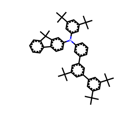 CC(C)(C)c1cc(-c2cccc(N(c3cc(C(C)(C)C)cc(C(C)(C)C)c3)c3ccc4c(c3)C(C)(C)c3ccccc3-4)c2)cc(-c2cc(C(C)(C)C)cc(C(C)(C)C)c2)c1